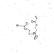 C=CC(=O)OCCN(CC)CCOC(=O)C(C)C